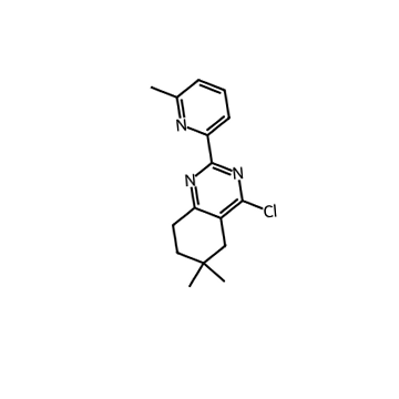 Cc1cccc(-c2nc(Cl)c3c(n2)CCC(C)(C)C3)n1